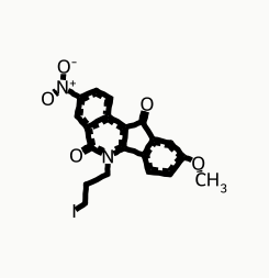 COc1ccc2c(c1)C(=O)c1c-2n(CCCI)c(=O)c2cc([N+](=O)[O-])ccc12